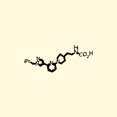 CC(C)Cn1cc(-c2cccc(N3CCC(CCNC(=O)O)CC3)n2)cn1